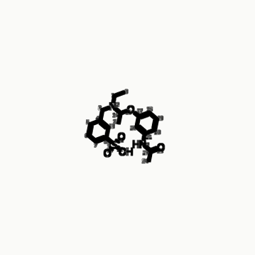 CCN(Cc1cccc(S(=O)(=O)O)c1)C(C)Oc1cccc(NC(C)=O)c1